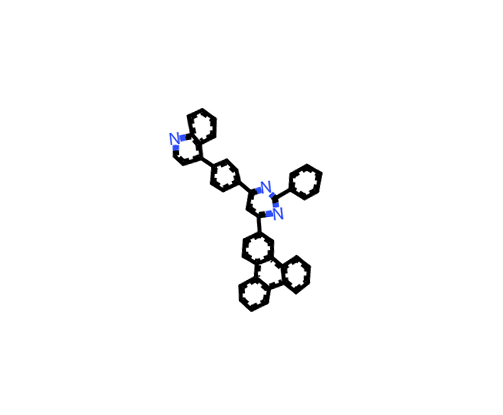 c1ccc(-c2nc(-c3ccc(-c4ccnc5ccccc45)cc3)cc(-c3ccc4c5ccccc5c5ccccc5c4c3)n2)cc1